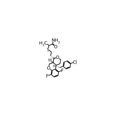 CC(SCC[C@@H]1OCC[C@@]2(Cc3ccc(Cl)cc3)c3c(F)ccc(F)c3OC[C@@H]12)C(N)=O